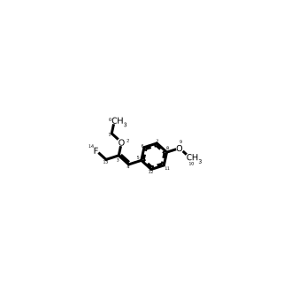 CCOC(=Cc1ccc(OC)cc1)CF